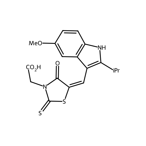 COc1ccc2[nH]c(C(C)C)c(C=C3SC(=S)N(CC(=O)O)C3=O)c2c1